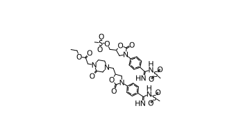 CCOC(=O)CN1CCN(CC2CN(c3ccc(C(=N)NS(C)(=O)=O)cc3)C(=O)O2)CC1=O.CS(=O)(=O)NC(=N)c1ccc(N2CC(COS(C)(=O)=O)OC2=O)cc1